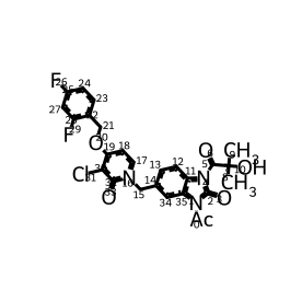 CC(=O)n1c(=O)n(C(=O)C(C)(C)O)c2ccc(Cn3ccc(OCc4ccc(F)cc4F)c(Cl)c3=O)cc21